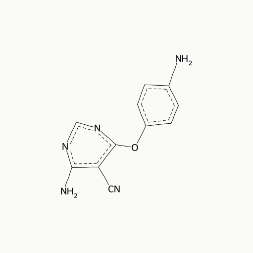 N#Cc1c(N)ncnc1Oc1ccc(N)cc1